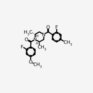 COc1ccc(C(=O)N2[C@H](C)CN(C(=O)c3ccc(C)cc3F)C[C@H]2C)c(F)c1